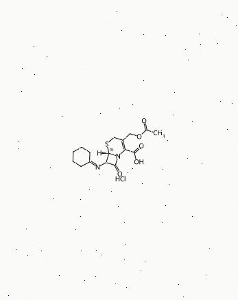 CC(=O)OCC1=C(C(=O)O)N2C(=O)C(N=C3CCCCC3)[C@@H]2SC1.Cl